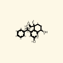 NC(=O)C1(F)CCC(O)c2nc(Cl)cc(C(F)c3ccccc3)c21